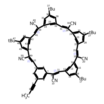 CC#Cc1cc2cc(c1)/C(C#N)=C/c1cc(cc(C(C)(C)C)c1)/C(C#N)=C/c1cc(cc(C(C)(C)C)c1)/C(C#N)=C/c1cc(cc(C(C)(C)C)c1)/C(C#N)=C/c1cc(cc(C(C)(C)C)c1)/C(C#N)=C/2